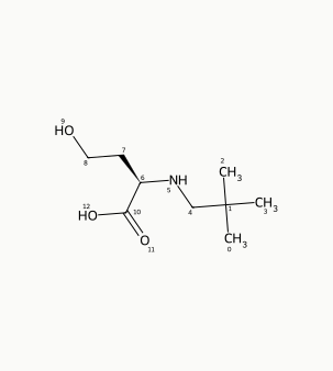 CC(C)(C)CN[C@H](CCO)C(=O)O